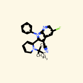 CC(C)(C)N1CC=CC=C1c1c(C#N)c2cc(F)cnc2n1-c1ccccc1